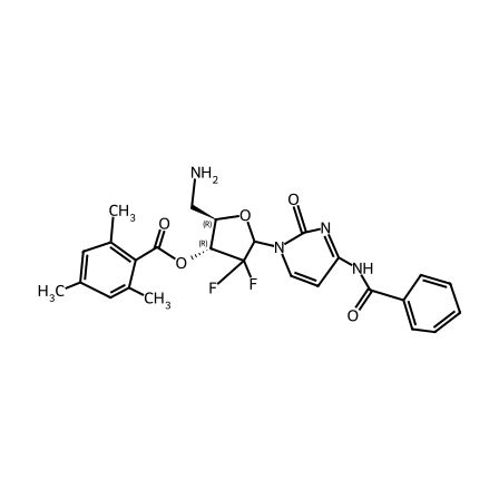 Cc1cc(C)c(C(=O)O[C@@H]2[C@@H](CN)OC(n3ccc(NC(=O)c4ccccc4)nc3=O)C2(F)F)c(C)c1